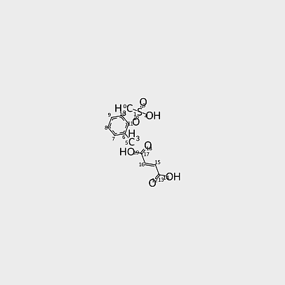 CS(=O)(=O)O.Cc1ccccc1.O=C(O)C=CC(=O)O